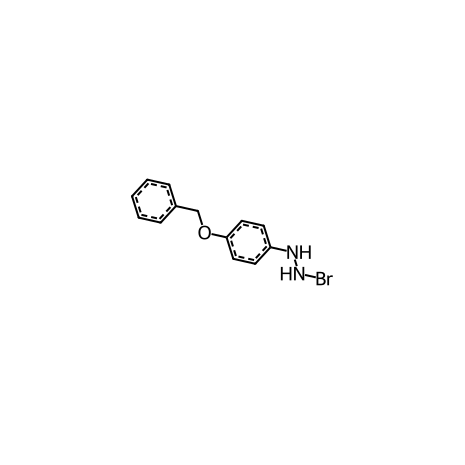 BrNNc1ccc(OCc2ccccc2)cc1